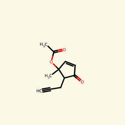 C#CCC1C(=O)C=CC1(C)OC(C)=O